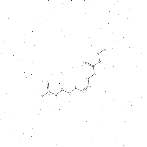 CCOC(=O)CC/C=C\CCCOC(C)=O